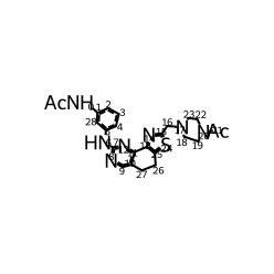 CC(=O)Nc1cccc(Nc2ncc3c(n2)-c2nc(CN4CCN(C(C)=O)CC4)sc2CC3)c1